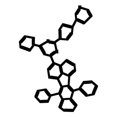 c1ccc(-c2cc(-c3ccc4c5c(cccc35)-c3c-4c(-c4ccccc4)c4ccccc4c3-c3ccccc3)nc(-c3ccc(-c4cccnc4)cc3)n2)cc1